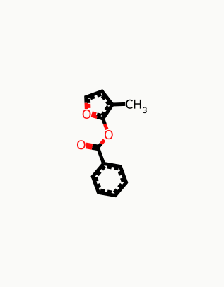 Cc1ccoc1OC(=O)c1ccccc1